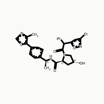 CCc1cc(C(C(=O)N2C[C@H](O)C[C@H]2C(=O)N[C@@H](C)c2ccc(-c3scnc3C)cc2)C(C)C)on1